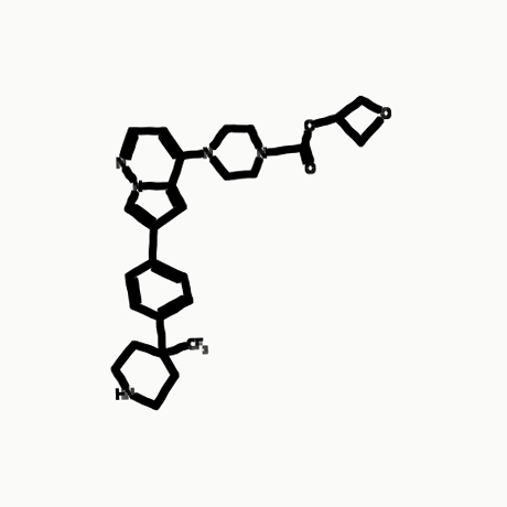 O=C(OC1COC1)N1CCN(c2ccnn3cc(-c4ccc(C5(C(F)(F)F)CCNCC5)cc4)cc23)CC1